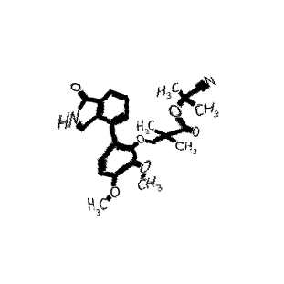 COc1ccc(-c2cccc3c2CNC3=O)c(OCC(C)(C)C(=O)OC(C)(C)C#N)c1OC